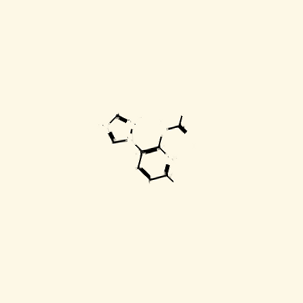 CC(=O)Oc1nc(C)ccc1-n1cncn1